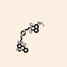 Nc1cc2c3c(cccc3c1)C(=O)N(CCCN1CCN(CCCNc3ccc4ncn5c6ccccc6c(=O)c3c45)CC1)C2=O